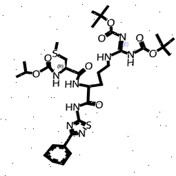 CSC[C@H](NC(=O)OC(C)C)C(=O)NC(CCCN/C(=N\C(=O)OC(C)(C)C)NC(=O)OC(C)(C)C)C(=O)Nc1nc(-c2ccccc2)ns1